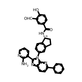 Nc1ncccc1-c1nc2ccc(-c3ccccc3)nc2n1-c1ccc2c(c1)CC[C@H]2NC(=O)c1ccc(O)c(C=O)c1